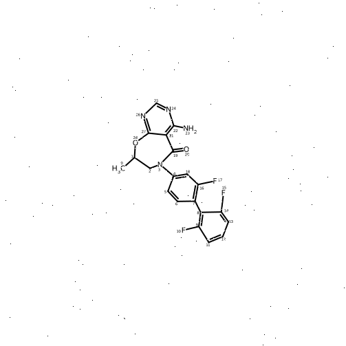 CC1CN(c2ccc(-c3c(F)cccc3F)c(F)c2)C(=O)c2c(N)ncnc2O1